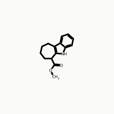 COC(=O)C1CCCCc2c1[nH]c1ccccc21